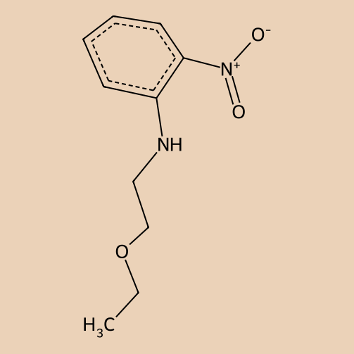 CCOCCNc1ccccc1[N+](=O)[O-]